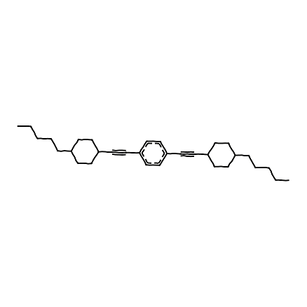 CCCCCC1CCC(C#Cc2ccc(C#CC3CCC(CCCCC)CC3)cc2)CC1